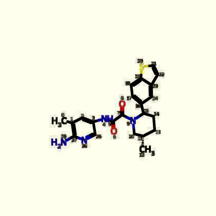 Cc1cc(NC(=O)C(=O)N2C[C@@H](C)CCC2c2ccc3sccc3c2)cnc1N